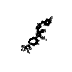 CC(C)(C)OC(=O)N1CCCC(n2nc(-c3cnn(Cc4cccc(Cl)c4)c3)c(C#N)c2N)CCC1